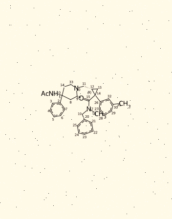 CC(=O)NC1(c2ccccc2)CCN(C[C@@H]2CC2(C(=O)N(C)Cc2ccccc2)c2cccc(C)c2)CC1